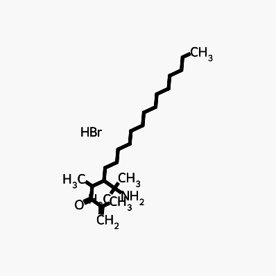 Br.C=C(C)C(=O)C(C)C(CCCCCCCCCCCCCC)C(C)(C)N